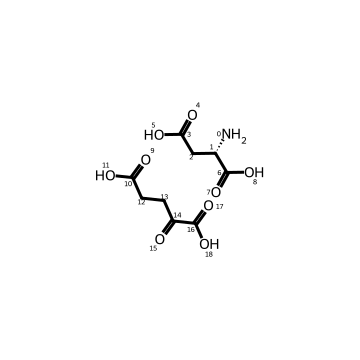 N[C@@H](CC(=O)O)C(=O)O.O=C(O)CCC(=O)C(=O)O